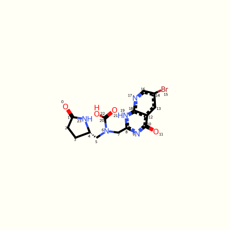 O=C1CC[C@@H](CN(Cc2nc(=O)c3cc(Br)cnc3[nH]2)C(=O)O)N1